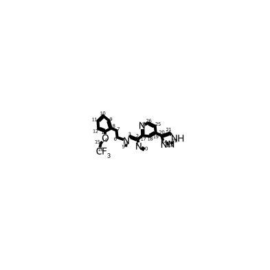 C=N/C(=C\N(C)CCc1ccccc1OCC(F)(F)F)c1cc(-c2c[nH]nn2)ccn1